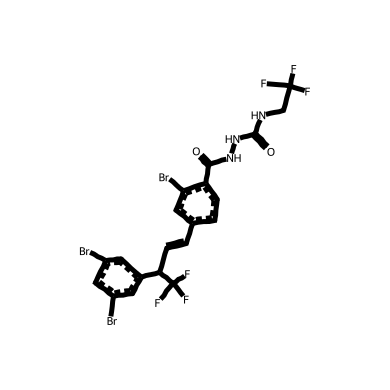 O=C(NCC(F)(F)F)NNC(=O)c1ccc(/C=C/C(c2cc(Br)cc(Br)c2)C(F)(F)F)cc1Br